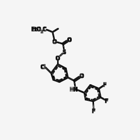 CCOC(=O)C(C)OC(=O)SOc1cc(C(=O)Nc2cc(F)c(F)c(F)c2)ccc1Cl